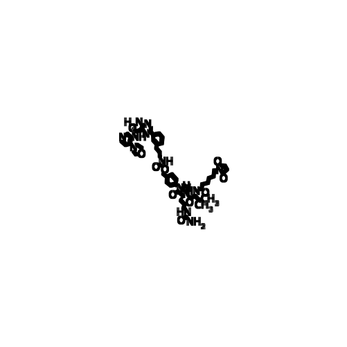 CC(C)C(NC(=O)CCCCCN1C(=O)C=CC1=O)C(=O)N[C@@H](CCCNC(N)=O)C(=O)Nc1ccc(COC(=O)NCCCc2cccc(-c3cnc(N)c(C(=O)Nc4cnccc4N4CCOCC4)n3)c2)cc1